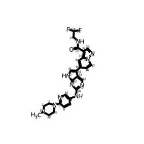 CN1CCN(c2ccc(Nc3ncc4c(-c5ccn6ncc(C(=O)NCC(F)F)c6c5)c[nH]c4n3)cn2)CC1